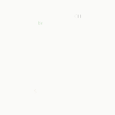 C#Cc1cc2cc3ccsc3cc2cc1Br